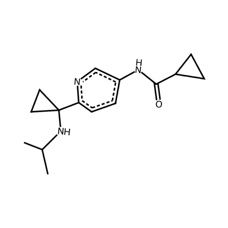 CC(C)NC1(c2ccc(NC(=O)C3CC3)cn2)CC1